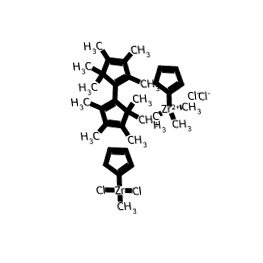 CC1=C(C)C(C)(C)C(C2=C(C)C(C)=C(C)C2(C)C)=C1C.[CH3][Zr+2]([CH3])([CH3])[C]1=CC=CC1.[CH3][Zr]([Cl])([Cl])[C]1=CC=CC1.[Cl-].[Cl-]